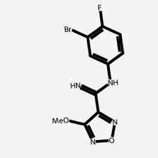 COc1nonc1C(=N)Nc1ccc(F)c(Br)c1